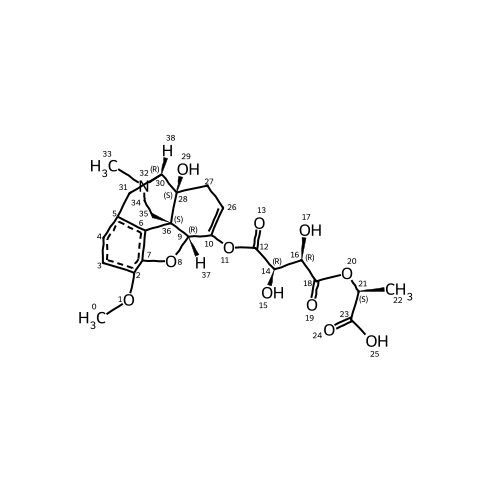 COc1ccc2c3c1O[C@H]1C(OC(=O)[C@H](O)[C@@H](O)C(=O)O[C@@H](C)C(=O)O)=CC[C@@]4(O)[C@@H](C2)N(C)CC[C@]314